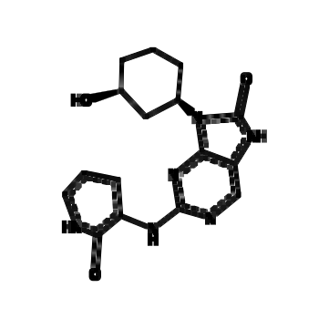 O=c1[nH]cccc1Nc1ncc2[nH]c(=O)n([C@@H]3CCC[C@H](O)C3)c2n1